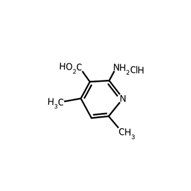 Cc1cc(C)c(C(=O)O)c(N)n1.Cl